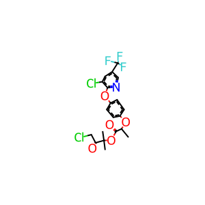 CC(Oc1ccc(Oc2ncc(C(F)(F)F)cc2Cl)cc1)C(=O)OC(C)(C)C(=O)CCl